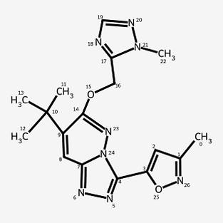 Cc1cc(-c2nnc3cc(C(C)(C)C)c(OCc4ncnn4C)nn23)on1